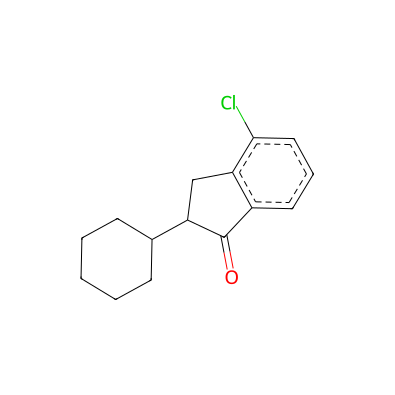 O=C1c2cccc(Cl)c2CC1C1CCCCC1